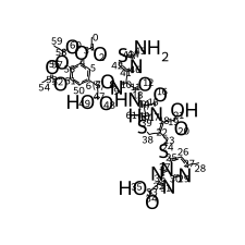 CC(=O)Oc1cc([C@H](ON=C(C(=O)N[C@@H]2C(=O)N3C(C(=O)O)=C(CSc4cc(C)nc5nc(C(=O)O)nn45)CS[C@H]23)c2csc(N)n2)C(=O)O)cc(OC(C)=O)c1OC(C)=O